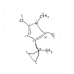 Cn1c(Cl)cc(C2(C)CC2)c1Cl